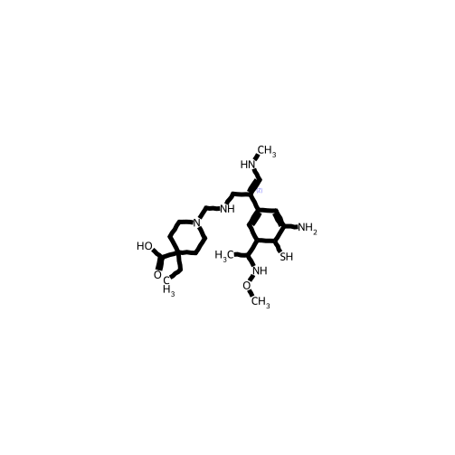 CCC1(C(=O)O)CCN(CNC/C(=C\NC)C2=CC(C(C)NOC)C(S)C(N)=C2)CC1